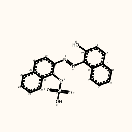 O=S(=O)(O)Oc1c(N=Nc2c(O)ccc3ccccc23)ccc2ccccc12